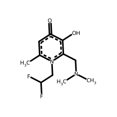 Cc1cc(=O)c(O)c(CN(C)C)n1CC(F)F